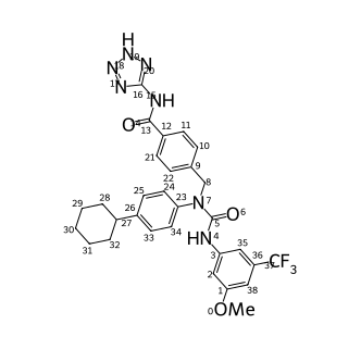 COc1cc(NC(=O)N(Cc2ccc(C(=O)Nc3nn[nH]n3)cc2)c2ccc(C3CCCCC3)cc2)cc(C(F)(F)F)c1